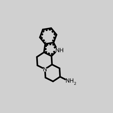 NC1CCN2CCc3c([nH]c4ccccc34)C2C1